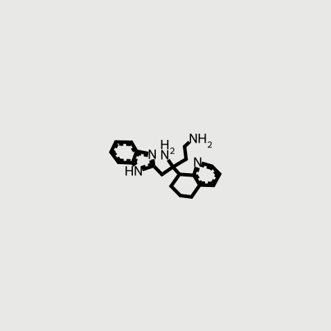 NCCC(N)(Cc1nc2ccccc2[nH]1)C1CCCc2cccnc21